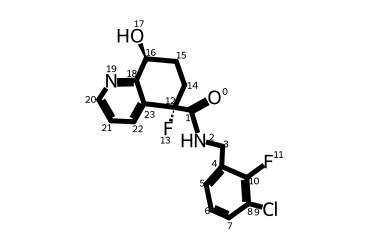 O=C(NCc1cccc(Cl)c1F)[C@]1(F)CC[C@H](O)c2ncccc21